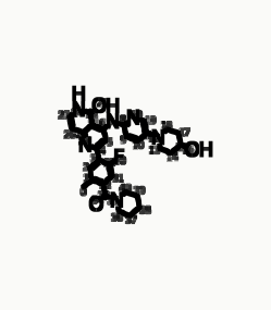 Cc1cc(-c2cc(Nc3ccc(N4CCC(O)CC4)cn3)c3c(=O)[nH]ccc3n2)c(F)cc1C(=O)N1CCCCC1